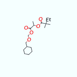 CCC(C)(C)C(=O)OC(C)C(=O)OCOCC1CCCCC1